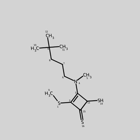 CSC1=C(N(C)CCCC(C)(C)C)C(S)C1=S